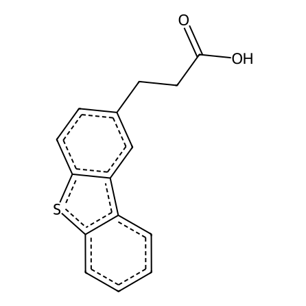 O=C(O)CCc1ccc2sc3ccccc3c2c1